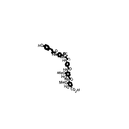 COc1c(NC(=O)c2ccc(NC(=O)c3ccc(NC(=O)[C@H](CC#N)NC(=O)c4ccc(NC(=O)/C(C)=C/c5ccc(O)cc5)cc4)cc3)c(OC)c2O)ccc(C(=O)O)c1O